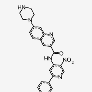 O=C(Nc1cc(-c2ccccc2)ncc1[N+](=O)[O-])c1cnc2cc(N3CCNCC3)ccc2c1